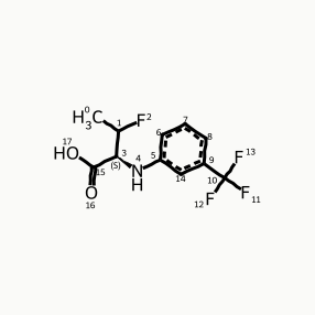 CC(F)[C@@H](Nc1cccc(C(F)(F)F)c1)C(=O)O